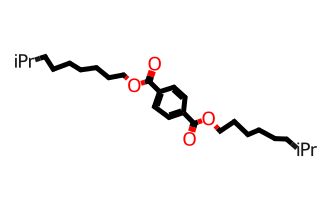 CC(C)CCCCCCCOC(=O)c1ccc(C(=O)OCCCCCCC(C)C)cc1